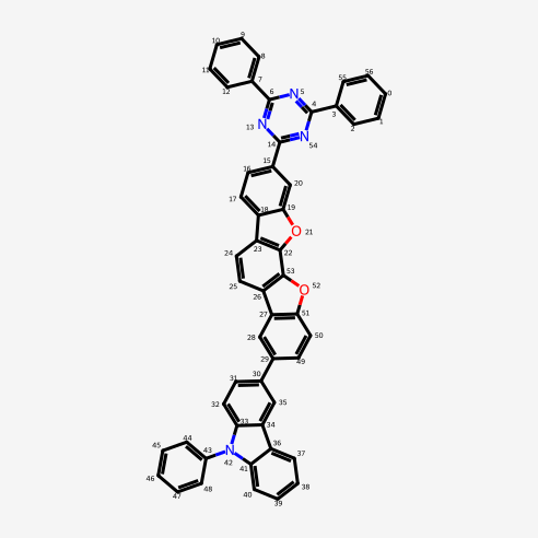 c1ccc(-c2nc(-c3ccccc3)nc(-c3ccc4c(c3)oc3c4ccc4c5cc(-c6ccc7c(c6)c6ccccc6n7-c6ccccc6)ccc5oc43)n2)cc1